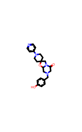 O=C1CN(Cc2ccc(O)cc2)CC2OC3(CCN(c4ccncc4)CC3)CN12